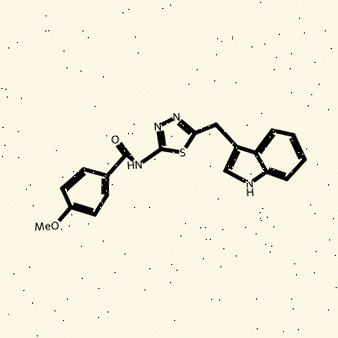 COc1ccc(C(=O)Nc2nnc(Cc3c[nH]c4ccccc34)s2)cc1